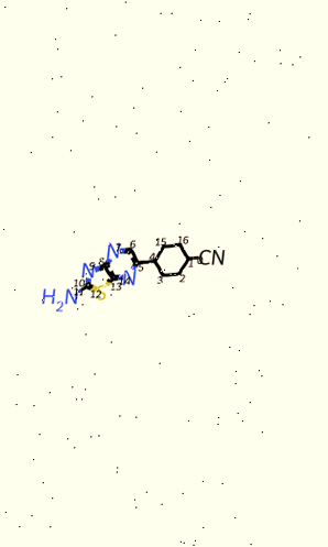 N#CC1CCC(c2cnc3nc(N)sc3n2)CC1